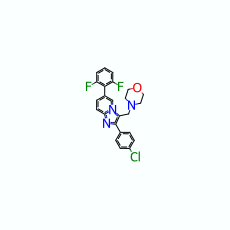 Fc1cccc(F)c1-c1ccc2nc(-c3ccc(Cl)cc3)c(CN3CCOCC3)n2c1